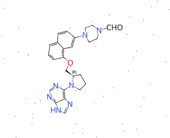 O=CN1CCN(c2ccc3cccc(OC[C@H]4CCCN4c4ncnc5[nH]cnc45)c3c2)CC1